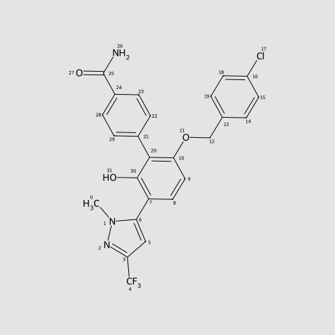 Cn1nc(C(F)(F)F)cc1-c1ccc(OCc2ccc(Cl)cc2)c(-c2ccc(C(N)=O)cc2)c1O